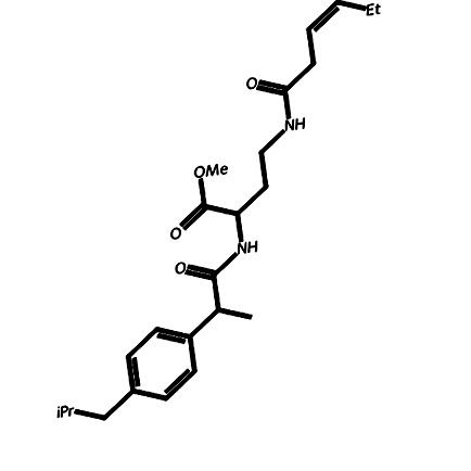 CC/C=C\CC(=O)NCCC(NC(=O)C(C)c1ccc(CC(C)C)cc1)C(=O)OC